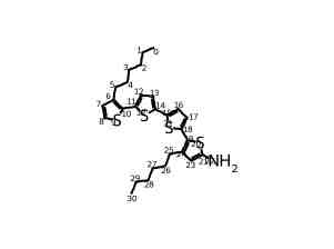 CCCCCCc1ccsc1-c1ccc(-c2ccc(-c3sc(N)cc3CCCCCC)s2)s1